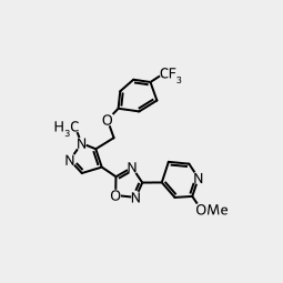 COc1cc(-c2noc(-c3cnn(C)c3COc3ccc(C(F)(F)F)cc3)n2)ccn1